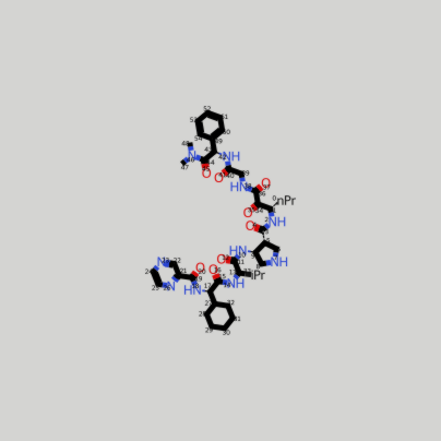 CCC[C@H](NC(=O)[C@@H]1CNC[C@@H]1NC(=O)C(NC(=O)[C@@H](NC(=O)c1cnccn1)C1CCCCC1)C(C)C)C(=O)C(=O)NCC(=O)N[C@H](C(=O)N(C)C)c1ccccc1